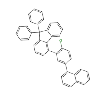 Clc1ccc(-c2cccc3ccccc23)cc1-c1cccc2c1-c1ccccc1C2(c1ccccc1)c1ccccc1